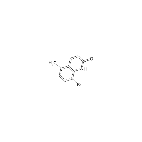 Cc1ccc(Br)c2[nH]c(=O)ccc12